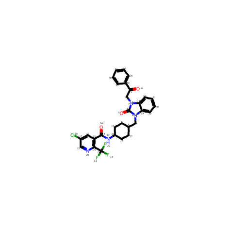 O=C(Cn1c(=O)n(CC2CCC(NC(=O)c3cc(Cl)cnc3C(F)(F)F)CC2)c2ccccc21)c1ccccc1